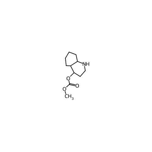 COC(=O)OC1CCNC2CCCCC21